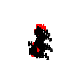 C=C1C[C@@H]2CC[C@]34CC(O3)[C@@H]3O[C@H]5CC[C@H](CC(=O)O[C@@H]6[C@@H](C)[C@@H]7O[C@@H]8C[C@@]9(C[C@@H]%10O[C@]%11(C[C@H](C)[C@@H]%12O[C@@H]%13[C@@H]([C@@H](O)CO)CO[C@@H]%13C[C@@H]%12O%11)C[C@H](C)[C@@H]%10O9)O[C@@H]8C[C@@H]7O[C@H]6C[C@H]6O[C@@H](CC[C@@H]1O2)C[C@@H](C)C6=C)O[C@@H]5[C@H](O4)[C@@H]3O